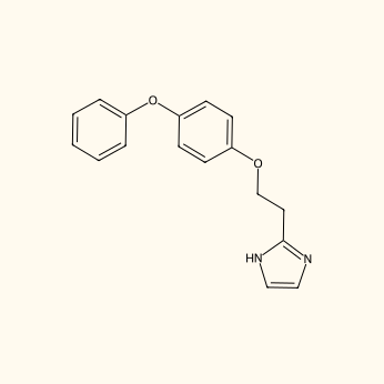 c1ccc(Oc2ccc(OCCc3ncc[nH]3)cc2)cc1